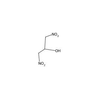 O=[N+]([O-])CC(O)C[N+](=O)[O-]